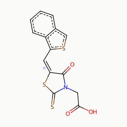 O=C(O)CN1C(=O)/C(=C\c2scc3ccccc23)SC1=S